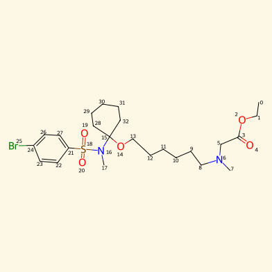 CCOC(=O)CN(C)CCCCCCOC1(N(C)S(=O)(=O)c2ccc(Br)cc2)CCCCC1